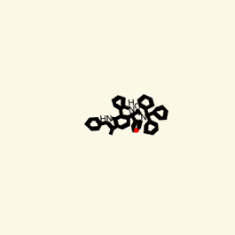 Cc1c(-c2ccccc2)[nH]c2c3c(ccc12)C1(Nc2ccccc2-3)C(=O)N(C(c2ccccc2)(c2ccccc2)c2ccccc2)c2ccccc21